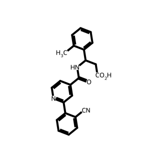 Cc1ccccc1C(CC(=O)O)NC(=O)c1ccnc(-c2ccccc2C#N)c1